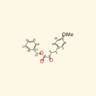 COc1ccc(CCC(=O)C(=O)OCc2ccccc2)cc1